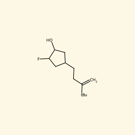 C=C(CCC1CC(O)C(F)C1)C(C)(C)C